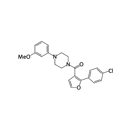 COc1cccc(N2CCN(C(=O)c3ccoc3-c3ccc(Cl)cc3)CC2)c1